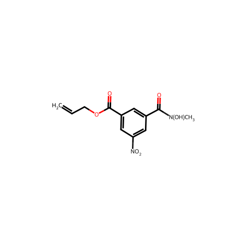 C=CCOC(=O)c1cc(C(=O)N(C)O)cc([N+](=O)[O-])c1